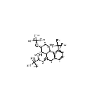 OC(CN(Cc1cccc(C(F)(F)F)n1)C1CCCC(OC(F)(F)F)C1)C(F)(F)F